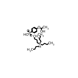 CC(O)Oc1ccc(S(=O)(=O)O)cc1.CCCC[PH](CCCC)(CCCC)CCCC